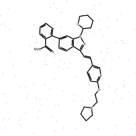 CNC(=S)c1ccccc1-c1ccc2c(/C=C/c3ccc(OCCN4CCCC4)nc3)nn(C3CCCCO3)c2c1